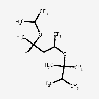 CC(OC(C)(F)CC(OC(C)(C)C(C)C(F)(F)F)C(F)(F)F)C(F)(F)F